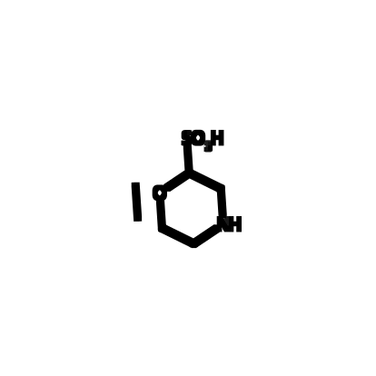 CC.O=S(=O)(O)C1CNCCO1